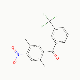 Cc1cc([N+](=O)[O-])c(C)cc1C(=O)c1cccc(C(F)(F)F)c1